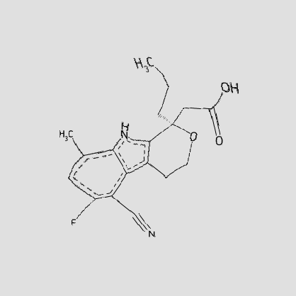 CCC[C@]1(CC(=O)O)OCCc2c1[nH]c1c(C)cc(F)c(C#N)c21